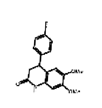 COc1cc2c(cc1OC)C(c1ccc(F)cc1)CC(=O)N2